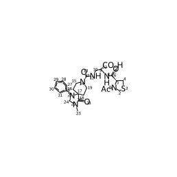 CC(=O)N1CSC[C@@H]1C(=O)NC(CNC(=O)N1CCC2(CC1)C(=O)N(C)CN2c1ccccc1)C(=O)O